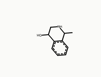 CC1NCC(O)c2ccccc21